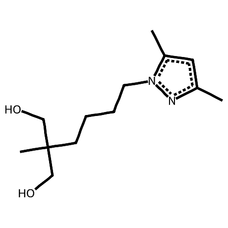 Cc1cc(C)n(CCCCC(C)(CO)CO)n1